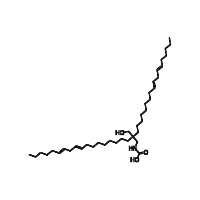 CCCCCC=CCC=CCCCCCCCCC(CO)(CCCCCCCCC=CCC=CCCCCC)CNC(=O)O